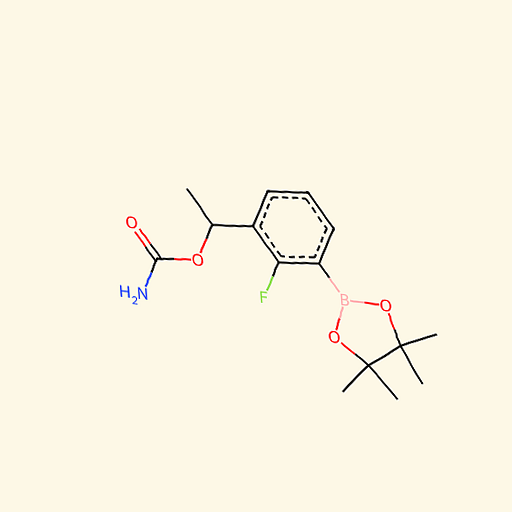 CC(OC(N)=O)c1cccc(B2OC(C)(C)C(C)(C)O2)c1F